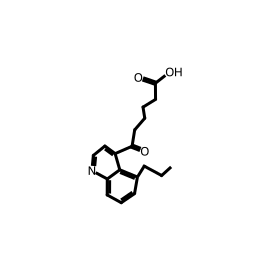 CCCc1cccc2nccc(C(=O)CCCCC(=O)O)c12